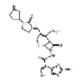 Nc1nc(/C(=N\O)C(=O)N[C@@H]2C(=O)N3C(C(=O)O)=C(/C=C4\CCN(C5CCNC5)C4=O)CSC23)ns1